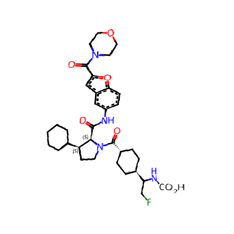 O=C(O)NC(CF)[C@H]1CC[C@H](C(=O)N2CC[C@@H](C3CCCCC3)[C@H]2C(=O)Nc2ccc3oc(C(=O)N4CCOCC4)cc3c2)CC1